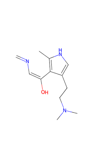 C=N/C=C(/O)c1c(CCN(C)C)c[nH]c1C